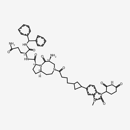 Cn1c(=O)n(C2CCC(=O)NC2=O)c2ccc(C3CC(CCCC(=O)N4CC[C@H]5CC[C@@H](C(=O)N[C@@H](CCC(N)=O)C(=O)NC(c6ccccc6)c6ccccc6)N5C(=O)[C@@H](N)C4)C3)cc21